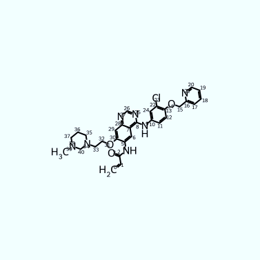 C=CC(=O)Nc1cc2c(Nc3ccc(OCc4ccccn4)c(Cl)c3)ncnc2cc1OCCN1CCCN(C)C1